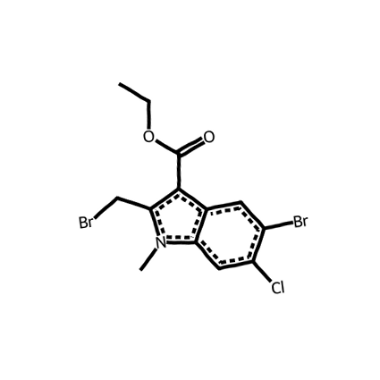 CCOC(=O)c1c(CBr)n(C)c2cc(Cl)c(Br)cc12